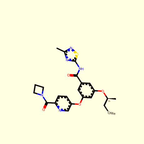 COC[C@H](C)Oc1cc(Oc2ccc(C(=O)N3CCC3)nc2)cc(C(=O)Nc2nc(C)ns2)c1